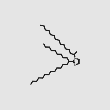 CCCCCCCCCCCCCC(CCCCCCCCC)c1nccn1C(C)CCCCCCCCCCCCC